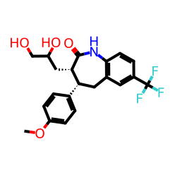 COc1ccc([C@H]2Cc3cc(C(F)(F)F)ccc3NC(=O)[C@H]2CC(O)CO)cc1